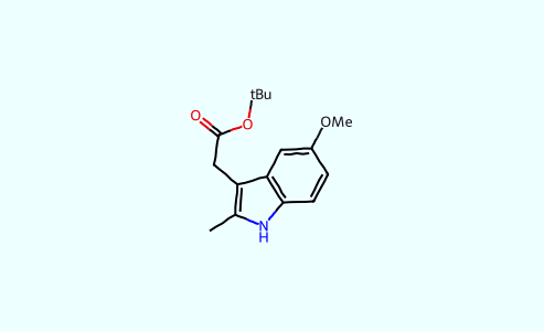 COc1ccc2[nH]c(C)c(CC(=O)OC(C)(C)C)c2c1